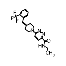 CCNC(=O)c1ccc(N2CCC(=Cc3ccccc3C(F)(F)F)CC2)nn1